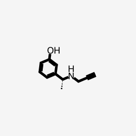 C#CCN[C@H](C)c1cccc(O)c1